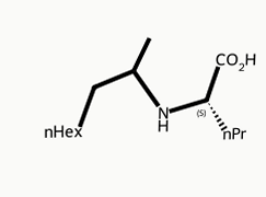 CCCCCCCC(C)N[C@@H](CCC)C(=O)O